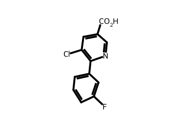 O=C(O)c1cnc(-c2cccc(F)c2)c(Cl)c1